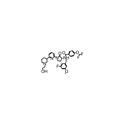 COc1cc(F)c([C@@H]2CN(c3cccc(C4CCCN(CCO)C4)n3)C(=O)[C@H]2NC(=O)c2ccc(OC(F)F)cc2)c(F)c1